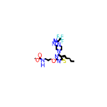 CCCc1cc2c(N3CCn4c(nnc4C(F)(F)F)C3)nc(OCCCNC(=O)OC)nc2s1